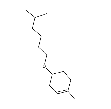 CC1=CCC(OCCCCC(C)C)CC1